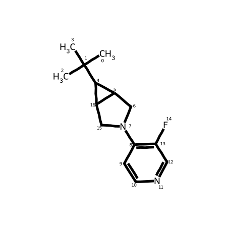 CC(C)(C)C1C2CN(c3ccncc3F)CC21